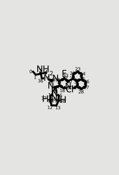 CCC1(N)CN(c2nc(N3C[C@H]4CC[C@@H](C3)N4)c3cnc(-c4cccc5cccc(Cl)c45)c(F)c3n2)C1